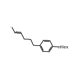 [CH2]C=CCCCc1ccc(CCCCCC)cc1